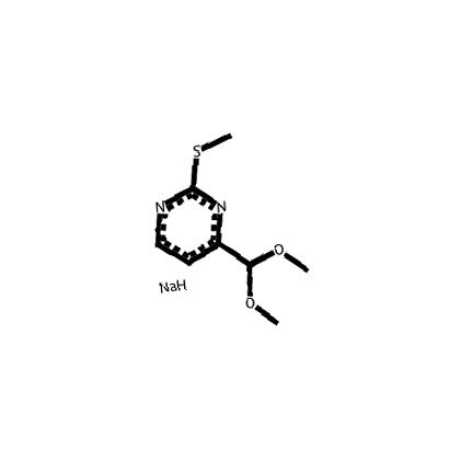 COC(OC)c1ccnc(SC)n1.[NaH]